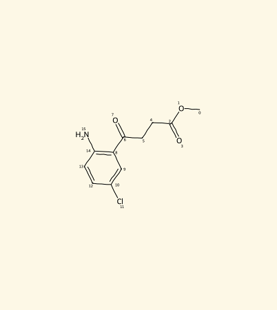 COC(=O)CCC(=O)c1cc(Cl)ccc1N